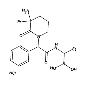 CCC(NC(=O)C(c1ccccc1)N1CCCC(N)(C(C)C)C1=O)B(O)O.Cl